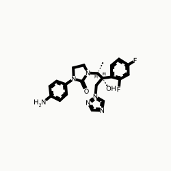 C[C@@H](N1CCN(c2ccc(N)cc2)C1=O)[C@](O)(Cn1cncn1)c1ccc(F)cc1F